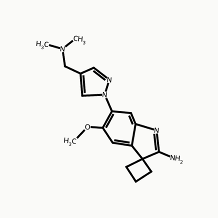 COc1cc2c(cc1-n1cc(CN(C)C)cn1)N=C(N)C21CCC1